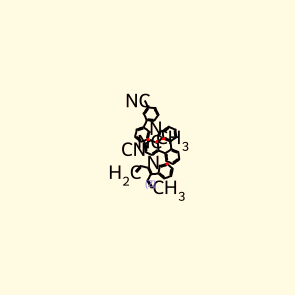 C=Cc1c(/C=C\C)c2ccccc2n1C1=C(c2ccccc2-c2cccc(-n3c4ccc(C#N)cc4c4ccc(C#N)cc43)c2C#N)C(C)CC=C1